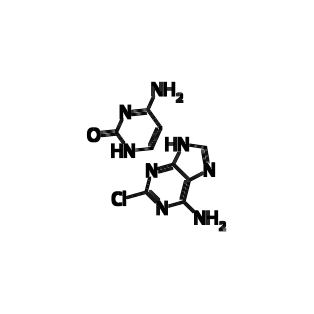 Nc1cc[nH]c(=O)n1.Nc1nc(Cl)nc2[nH]cnc12